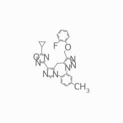 Cc1ccc2c(c1)-n1nnc(COc3ccccc3F)c1Cc1c(-c3noc(C4CC4)n3)ncn1-2